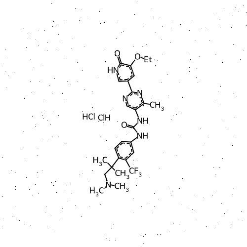 CCOc1cc(-c2ncc(NC(=O)Nc3ccc(C(C)(C)CN(C)C)c(C(F)(F)F)c3)c(C)n2)c[nH]c1=O.Cl.Cl